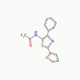 O=C(Nc1sc(-c2ccco2)nc1-c1ccccc1)C(F)(F)F